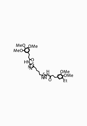 CCc1cc(CCC(=O)Nc2nnc(CCCCc3nnc(NC(=O)CCc4cc(OC)c(OC)c(OC)c4)s3)s2)cc(OC)c1OC